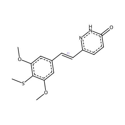 COc1cc(/C=C/c2ccc(=O)[nH]n2)cc(OC)c1SC